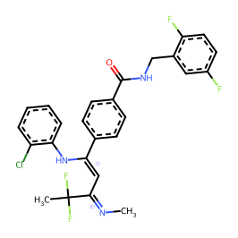 C/N=C(\C=C(/Nc1ccccc1Cl)c1ccc(C(=O)NCc2cc(F)ccc2F)cc1)C(C)(F)F